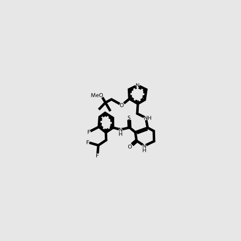 COC(C)(C)COc1cnccc1CNC1=C(C(=S)Nc2cccc(F)c2CC(F)F)C(=O)NCC1